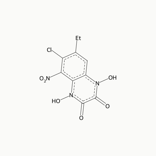 CCc1cc2c(c([N+](=O)[O-])c1Cl)n(O)c(=O)c(=O)n2O